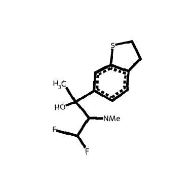 CNC(C(F)F)C(C)(O)c1ccc2c(c1)SCC2